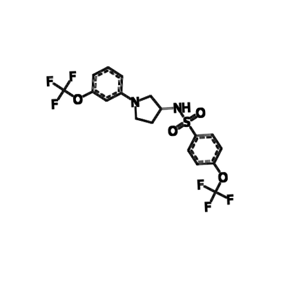 O=S(=O)(NC1CCN(c2cccc(OC(F)(F)F)c2)C1)c1ccc(OC(F)(F)F)cc1